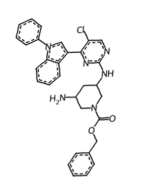 NC1CC(Nc2ncc(Cl)c(-c3cn(-c4ccccc4)c4ccccc34)n2)CN(C(=O)OCc2ccccc2)C1